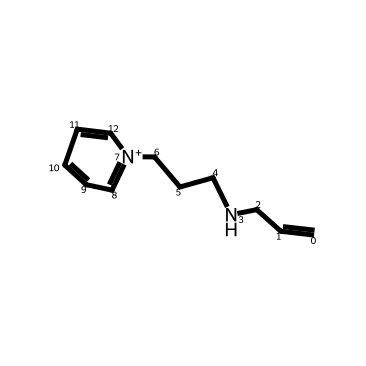 C=CCNCCC[n+]1ccccc1